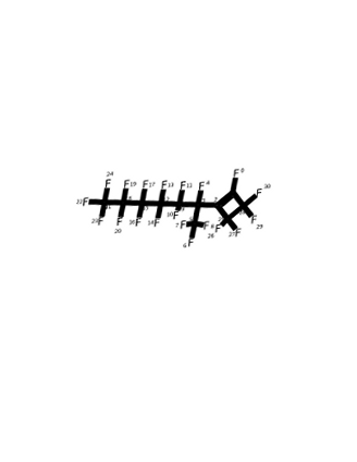 FC1=C(C(F)(C(F)(F)F)C(F)(F)C(F)(F)C(F)(F)C(F)(F)C(F)(F)F)C(F)(F)C1(F)F